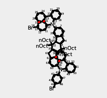 CCCCCCCCC1(CCCCCCCC)C2=Cc3ccc(N(c4ccc(Br)cc4)c4ccccc4-c4ccccc4)cc3C2C(CCCCCCCC)(CCCCCCCC)C2=C1c1cc(N(c3ccc(Br)cc3)c3ccccc3-c3ccccc3)ccc1C2